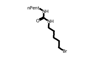 CCCCCNC(=O)NCCCCCBr